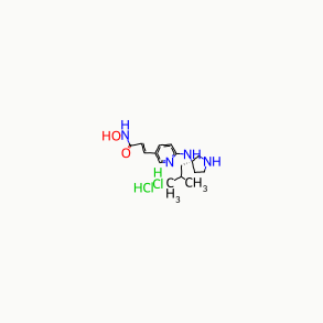 CC(C)C[C@@]1(Nc2ccc(/C=C/C(=O)NO)cn2)CCNC1.Cl.Cl